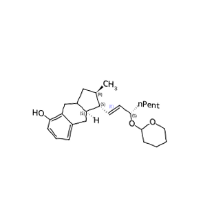 CCCCC[C@@H](/C=C/[C@H]1[C@H](C)CC2Cc3c(O)cccc3C[C@@H]21)OC1CCCCO1